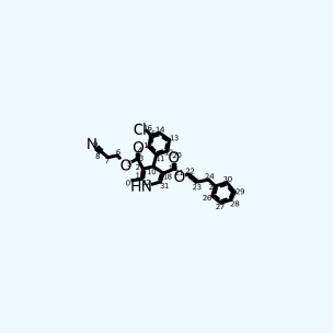 CC1=C(C(=O)OCCC#N)C(c2cccc(Cl)c2)C(C(=O)O/C=C/Cc2ccccc2)=CN1